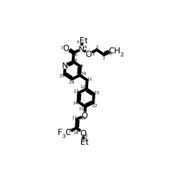 C=CCON(CC)C(=O)c1cc(Cc2ccc(O/C=C(\OCC)C(F)(F)F)cc2)ccn1